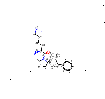 CCOC(=O)C(CCc1ccccc1)[C@@]1(C(=O)O)CCCN1C(=O)[C@@H](N)CCCCN